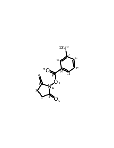 C=C1CCC(=O)N1OC(=O)c1cccc([125I])c1